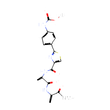 C=C(NC(=O)C(=C)NC(=O)c1csc(-c2ccc(NC(=O)OC(C)(C)C)cc2)n1)C(=O)NC